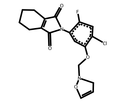 O=C1C2=C(CCCC2)C(=O)N1c1cc(OCN2CC=CO2)c(Cl)cc1F